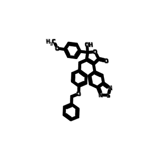 COc1ccc(C2(O)OC(=O)C(c3ccc4nsnc4c3)=C2Cc2ccc(OCc3ccccc3)cc2)cc1